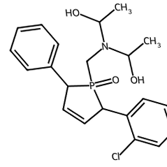 CC(O)N(CP1(=O)C(c2ccccc2)C=CC1c1ccccc1Cl)C(C)O